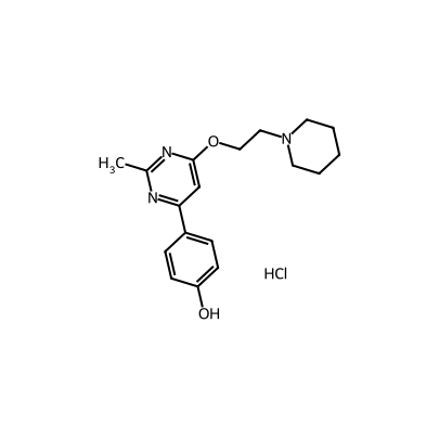 Cc1nc(OCCN2CCCCC2)cc(-c2ccc(O)cc2)n1.Cl